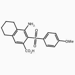 COc1ccc(S(=O)(=O)c2c(C(=O)O)cc3c(c2N)CCCC3)cc1